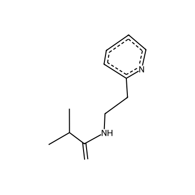 C=C(NCCc1ccccn1)C(C)C